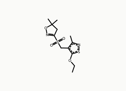 CCOc1snc(C)c1CS(=O)(=O)C1=NOC(C)(C)C1